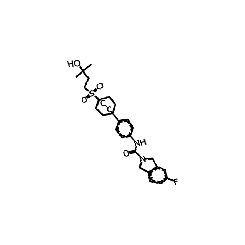 CC(C)(O)CCS(=O)(=O)C12CCC(c3ccc(NC(=O)N4Cc5ccc(F)cc5C4)cc3)(CC1)CC2